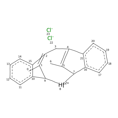 CC1=C2CC3=C(C)[CH]([Hf+2][CH]1c1ccccc12)c1ccccc13.[Cl-].[Cl-]